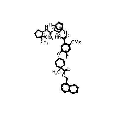 COc1cc(F)c(O[C@H]2CC[C@@](C)(C(=O)OCc3cccc4ccccc34)CC2)cc1C(=O)N[C@H]1[C@@H](C(=O)N[C@@H]2CCCC2(C)C)[C@@H]2C=C[C@H]1C2